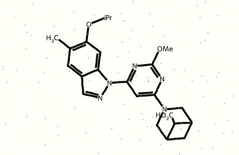 COc1nc(N2CC3CC(C2)C3C(=O)O)cc(-n2ncc3cc(C)c(OC(C)C)cc32)n1